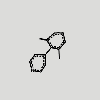 Cc1cccc(C)c1-c1ccncc1